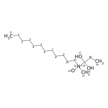 CCCCCCCCCCCC[N+](C)([O-])C(O)(O)CC